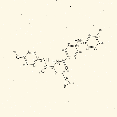 COc1ccc(NC(=O)C(CCC2CC2)NC(=O)c2ccc(Nc3ccnc(C)c3)cc2)cn1